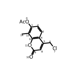 CC(=O)Oc1ccc2c(CCl)cc(=O)oc2c1C